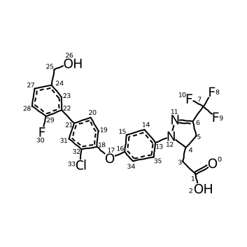 O=C(O)CC1CC(C(F)(F)F)=NN1c1ccc(Oc2ccc(-c3cc(CO)ccc3F)cc2Cl)cc1